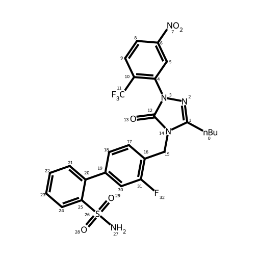 CCCCc1nn(-c2cc([N+](=O)[O-])ccc2C(F)(F)F)c(=O)n1Cc1ccc(-c2ccccc2S(N)(=O)=O)cc1F